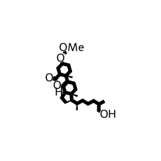 COCOC1CC[C@]2(C)C3=C(OC(=O)C2C1)[C@@H]1CC[C@H]([C@H](C)CCCC(C)CO)[C@@]1(C)CC3